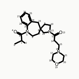 CC(C)C(=O)N1CCC2(CCN(C(=O)CCN3CCOCC3)C2)Cc2ccccc21